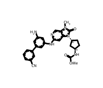 COC(=O)N[C@@H]1CC[C@@H](n2c(=O)n(C)c3cnc(Nc4cc(N)cc(-c5cccc(C#N)c5)c4)cc32)C1